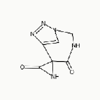 O=C1NCn2cc(nn2)C12NC2=O